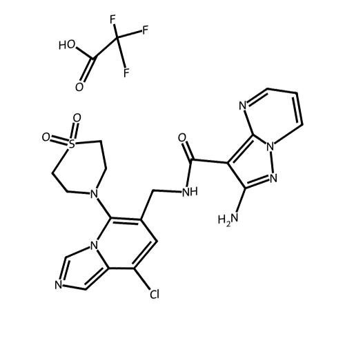 Nc1nn2cccnc2c1C(=O)NCc1cc(Cl)c2cncn2c1N1CCS(=O)(=O)CC1.O=C(O)C(F)(F)F